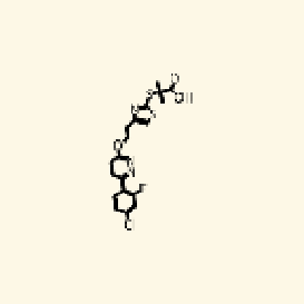 CC(C)(Sc1nc(CCOc2ccc(-c3ccc(Cl)cc3F)nn2)cs1)C(=O)O